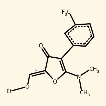 CCO/C=C1\OC(N(C)C)=C(c2cccc(C(F)(F)F)c2)C1=O